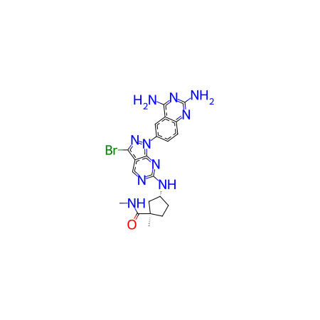 CNC(=O)[C@]1(C)CC[C@@H](Nc2ncc3c(Br)nn(-c4ccc5nc(N)nc(N)c5c4)c3n2)C1